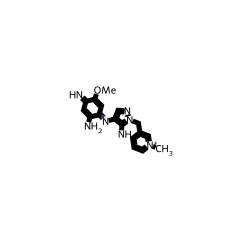 COC1=C/C(=N\c2cnn(Cc3ccc[n+](C)c3)c2N)C(N)=CC1=N